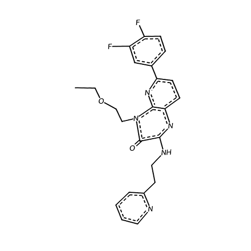 CCOCCn1c(=O)c(NCCc2ccccn2)nc2ccc(-c3ccc(F)c(F)c3)nc21